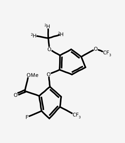 [2H]C([2H])([2H])Oc1cc(OC(F)(F)F)ccc1Oc1cc(C(F)(F)F)cc(F)c1C(=O)OC